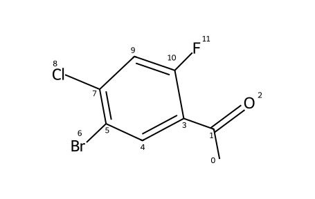 CC(=O)c1cc(Br)c(Cl)cc1F